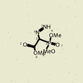 COC(=O)C(N=N)P(=O)(OC)OC